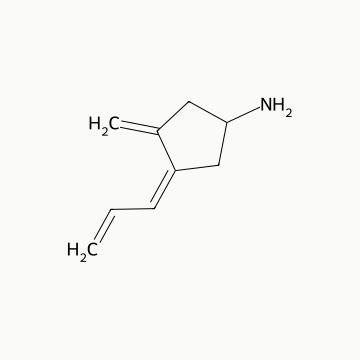 C=C/C=C1/CC(N)CC1=C